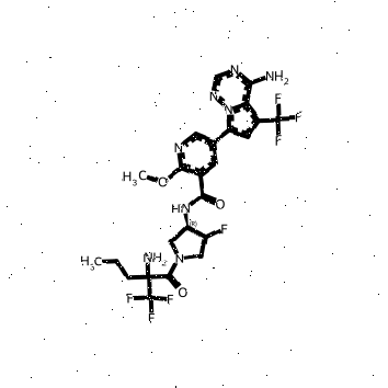 CCCC(N)(C(=O)N1CC(F)[C@H](NC(=O)c2cc(-c3cc(C(F)(F)F)c4c(N)ncnn34)cnc2OC)C1)C(F)(F)F